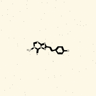 Cn1cnc2nc(/C=C/c3ccc(Cl)cc3)nn2c1=S